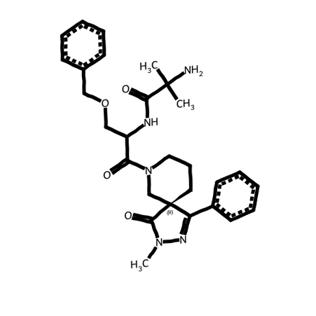 CN1N=C(c2ccccc2)[C@]2(CCCN(C(=O)C(COCc3ccccc3)NC(=O)C(C)(C)N)C2)C1=O